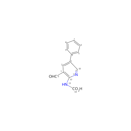 O=Cc1cc(-c2ccccc2)cnc1NC(=O)O